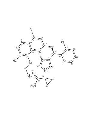 CC(C)(C)CNc1c(C#N)cnc2c(F)cc(N[C@H](c3cn(C4(C(N)=O)CC4)nn3)c3ccccc3Cl)cc12